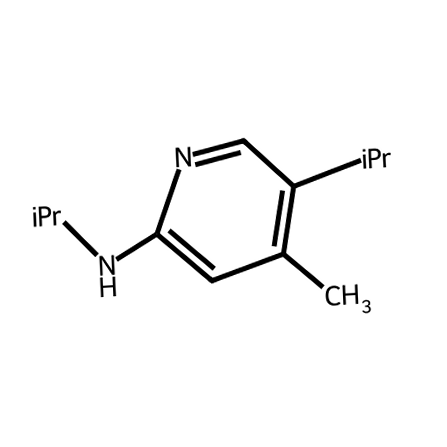 Cc1cc(NC(C)C)ncc1C(C)C